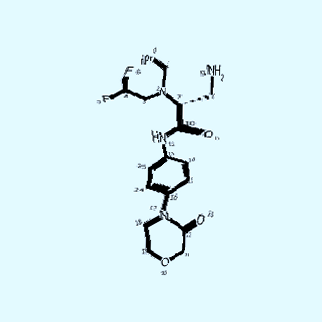 CC(C)CN(CC(F)F)[C@H](CN)C(=O)Nc1ccc(N2CCOCC2=O)cc1